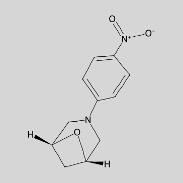 O=[N+]([O-])c1ccc(N2C[C@H]3C[C@@H](C2)O3)cc1